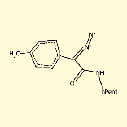 CCCCCNC(=O)C(=[N+]=[N-])c1ccc(C)cc1